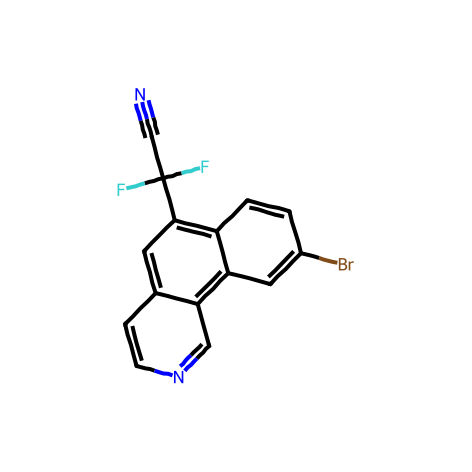 N#CC(F)(F)c1cc2ccncc2c2cc(Br)ccc12